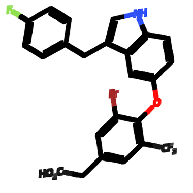 O=C(O)Cc1cc(Br)c(Oc2ccc3[nH]cc(Cc4ccc(F)cc4)c3c2)c(C(F)(F)F)c1